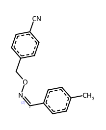 Cc1ccc(/[C]=N\OCc2ccc(C#N)cc2)cc1